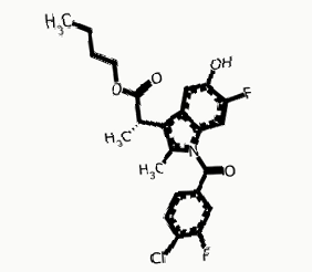 CCCCOC(=O)[C@@H](C)c1c(C)n(C(=O)c2ccc(Cl)c(F)c2)c2cc(F)c(O)cc12